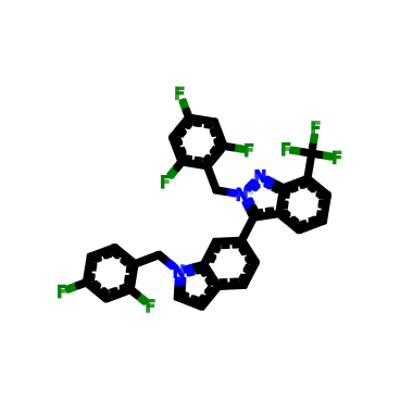 Fc1ccc(Cn2ccc3ccc(-c4c5cccc(C(F)(F)F)c5nn4Cc4c(F)cc(F)cc4F)cc32)c(F)c1